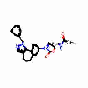 CC(=O)NC[C@H]1CN(c2ccc3c(c2)CCCc2cnn(Cc4ccccc4)c2-3)C(=O)O1